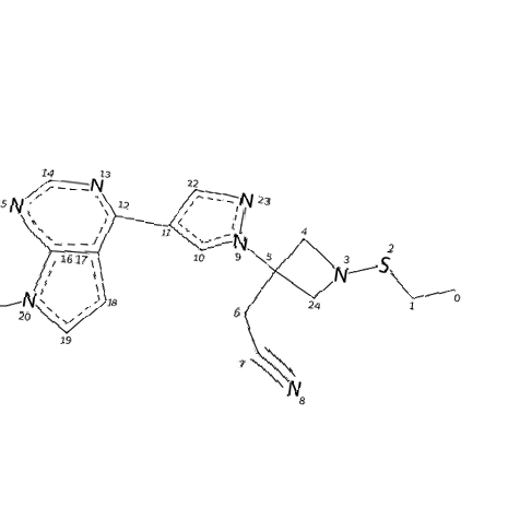 CCSN1CC(CC#N)(n2cc(-c3ncnc4c3ccn4C)cn2)C1